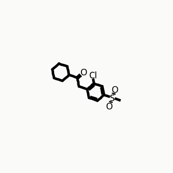 CS(=O)(=O)c1ccc(CC(=O)C2CCCCC2)c(Cl)c1